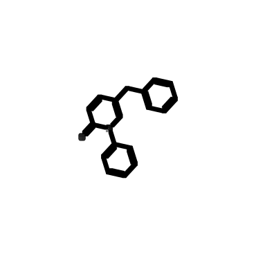 O=c1ccc(Cc2ccccc2)cn1-c1ccccc1